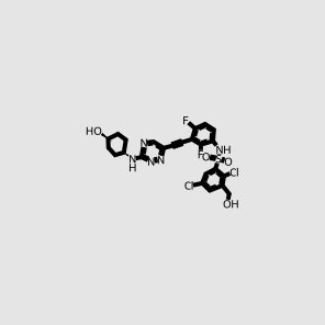 O=S(=O)(Nc1ccc(F)c(C#Cc2cnc(N[C@H]3CC[C@H](O)CC3)nn2)c1F)c1cc(Cl)cc(CO)c1Cl